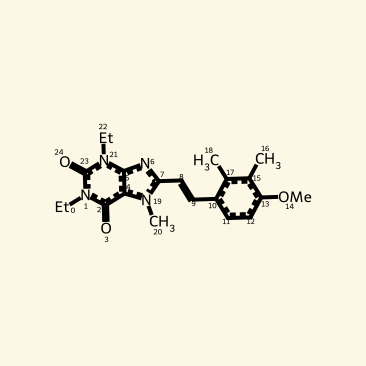 CCn1c(=O)c2c(nc(C=Cc3ccc(OC)c(C)c3C)n2C)n(CC)c1=O